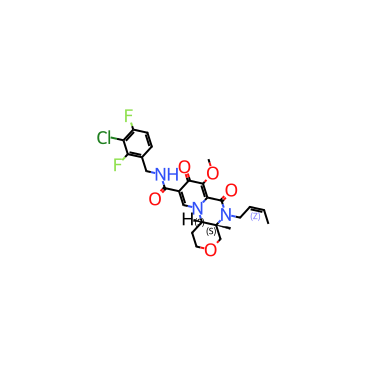 C/C=C\CN1C(=O)c2c(OC)c(=O)c(C(=O)NCc3ccc(F)c(Cl)c3F)cn2[C@H]2CCOC[C@]21C